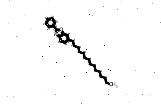 CCCCCCCCCCCCCCCc1ccc2nc(-c3ccccc3)oc2c1